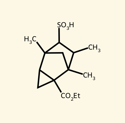 CCOC(=O)C12CC1C1(C)CC2(C)C(C)C1S(=O)(=O)O